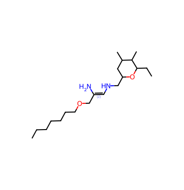 CCCCCCCOC/C(N)=C/NCC1CC(C)C(C)C(CC)O1